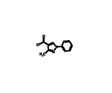 Cc1nn(-c2ccccc2)cc1C(=O)Cl